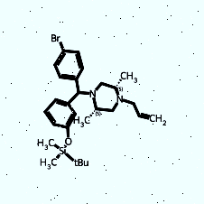 C=CCN1C[C@H](C)N(C(c2ccc(Br)cc2)c2cccc(O[Si](C)(C)C(C)(C)C)c2)C[C@@H]1C